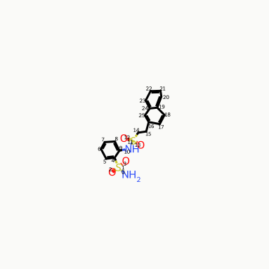 NS(=O)(=O)c1ccccc1NS(=O)(=O)CCc1ccc2ccccc2c1